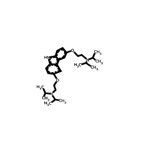 CC(C)N(CCOc1ccc2[nH]c3ccc(OCCN(C(C)C)C(C)C)cc3c2c1)C(C)C